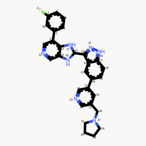 Fc1cccc(-c2cncc3c2NC(c2n[nH]c4ccc(-c5cncc(CN6CCCC6)c5)cc24)N3)c1